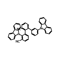 N#Cc1cccc(-c2cccc(-n3c4ccccc4c4ccccc43)c2)c1-c1cccc(C#N)c1-n1c2ccccc2c2ccccc21